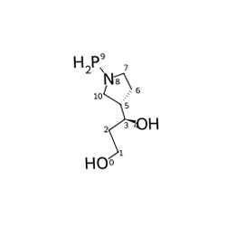 OCC[C@H](O)[C@H]1CCN(P)C1